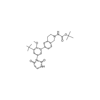 COc1c(-c2ccc3c(c2)CCN(NC(=O)OC(C)(C)C)C3)cc(-n2c(=O)cc[nH]c2=O)cc1C(C)(C)C